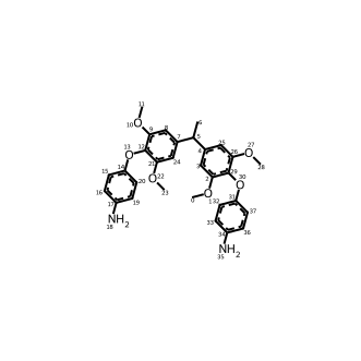 COc1cc(C(C)c2cc(OC)c(Oc3ccc(N)cc3)c(OC)c2)cc(OC)c1Oc1ccc(N)cc1